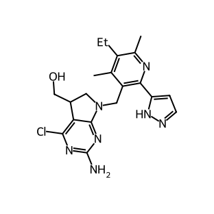 CCc1c(C)nc(-c2ccn[nH]2)c(CN2CC(CO)c3c(Cl)nc(N)nc32)c1C